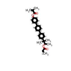 C=CC(=O)OC(C)C(C)(C)c1ccc(-c2ccc(-c3ccc(OC(=O)C(=C)C)cc3)cc2)cc1